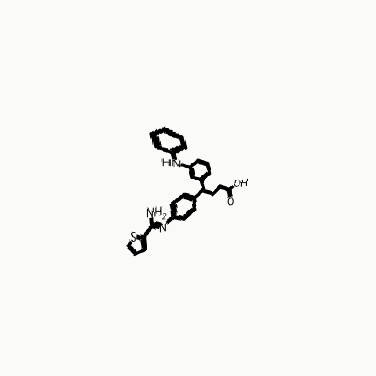 NC(=Nc1ccc(C(CCC(=O)O)c2cccc(Nc3ccccc3)c2)cc1)c1cccs1